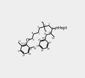 CCCCCCCC(CC(C)(C)CCCCOc1c(C)cccc1C)C(C)Cc1ccccc1